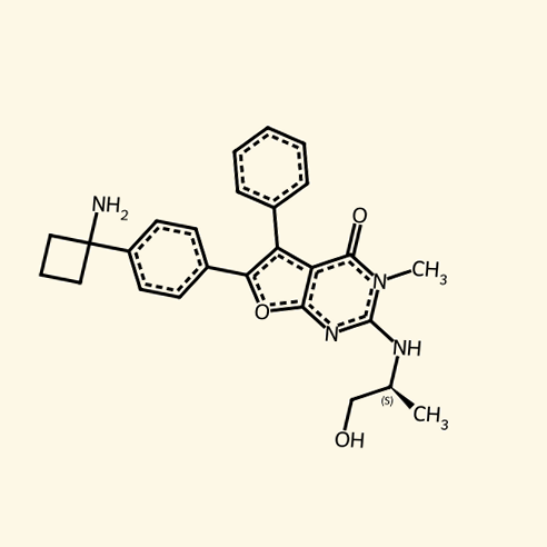 C[C@@H](CO)Nc1nc2oc(-c3ccc(C4(N)CCC4)cc3)c(-c3ccccc3)c2c(=O)n1C